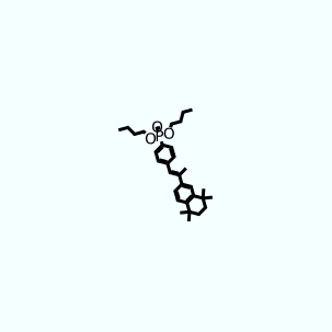 CCCCOP(=O)(OCCCC)c1ccc(C=C(C)c2ccc3c(c2)C(C)(C)CCC3(C)C)cc1